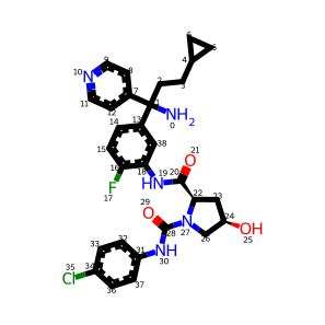 NC(CCC1CC1)(c1ccncc1)c1ccc(F)c(NC(=O)[C@H]2C[C@@H](O)CN2C(=O)Nc2ccc(Cl)cc2)c1